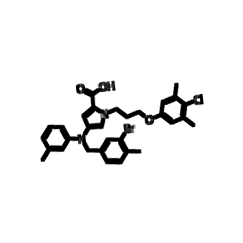 Cc1cccc(N(Cc2ccc(C)c(Br)c2)c2cc(C(=O)O)n(CCCOc3cc(C)c(Cl)c(C)c3)c2)c1